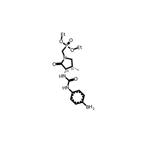 Bc1ccc(NC(=O)N[C@@H]2C(=O)N(CP(=O)(OCC)OCC)C[C@@H]2C)cc1